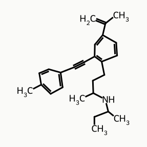 C=C(C)c1ccc(CCC(C)NC(C)CC)c(C#Cc2ccc(C)cc2)c1